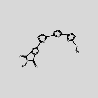 CCCCN1C(=O)c2cc(-c3ccc(-c4ccc(-c5ccc(SC(C)C)s5)s4)s3)sc2C1=O